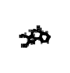 CCCc1c(O)nn(-c2ccccc2C)c1CCC